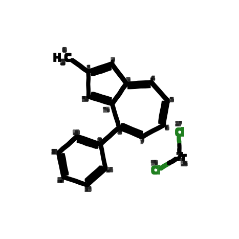 Cc1[c]c2ccccc(-c3ccccc3)c-2c1.[Cl][Zr][Cl]